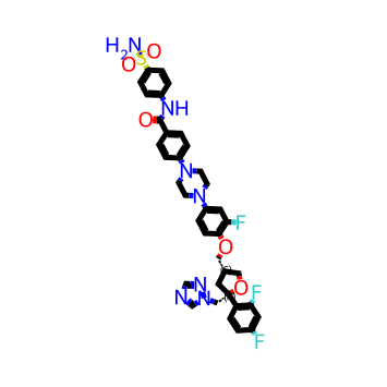 NS(=O)(=O)c1ccc(NC(=O)c2ccc(N3CCN(c4ccc(OC[C@@H]5CO[C@@](Cn6cncn6)(c6ccc(F)cc6F)C5)c(F)c4)CC3)cc2)cc1